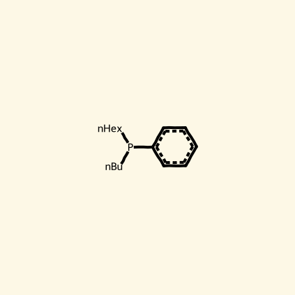 CCCCCCP(CCCC)c1ccccc1